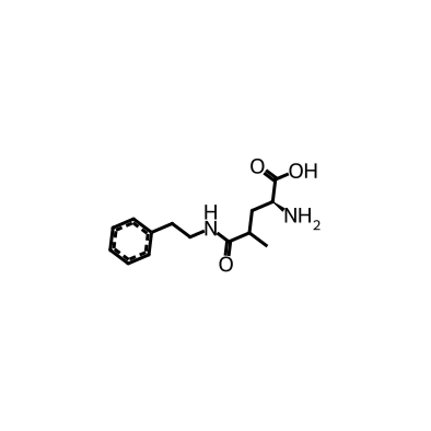 CC(C[C@H](N)C(=O)O)C(=O)NCCc1ccccc1